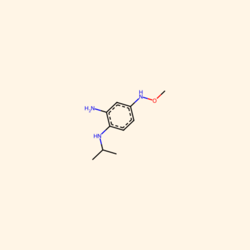 CONc1ccc(NC(C)C)c(N)c1